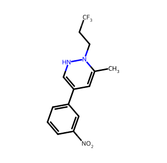 CC1=CC(c2cccc([N+](=O)[O-])c2)=CNN1CCC(F)(F)F